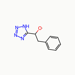 [O]C(Cc1ccccc1)c1nnn[nH]1